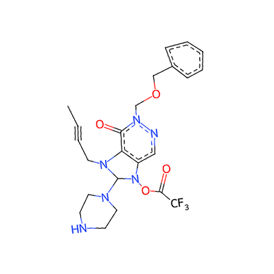 CC#CCN1c2c(cnn(COCc3ccccc3)c2=O)N(OC(=O)C(F)(F)F)C1N1CCNCC1